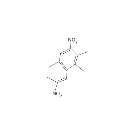 C/C(=C\c1c(C)cc([N+](=O)[O-])c(C)c1C)[N+](=O)[O-]